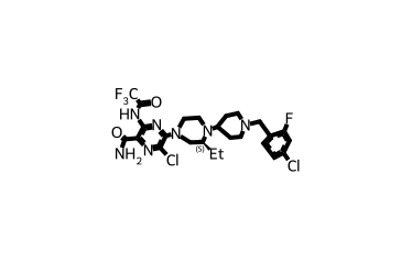 CC[C@H]1CN(c2nc(NC(=O)C(F)(F)F)c(C(N)=O)nc2Cl)CCN1C1CCN(Cc2ccc(Cl)cc2F)CC1